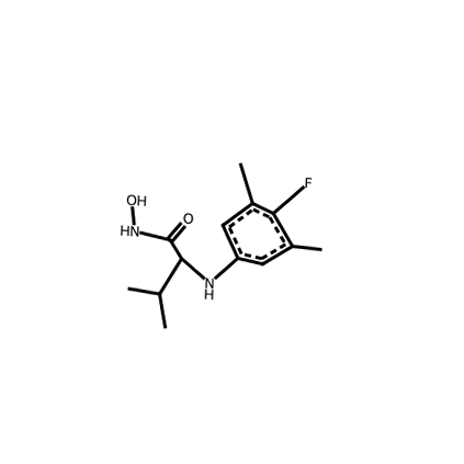 Cc1cc(NC(C(=O)NO)C(C)C)cc(C)c1F